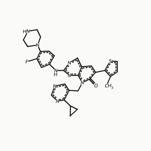 Cc1ccsc1-c1cc2cnc(Nc3ccc(N4CCNCC4)c(F)c3)nc2n(Cc2cncnc2C2CC2)c1=O